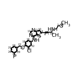 COCCN[C@H](C)C#Cc1cc2ncnc(Nc3ccc(OCc4cccc(F)c4)c(Cl)c3)c2s1